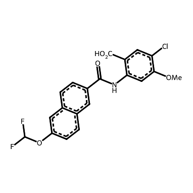 COc1cc(NC(=O)c2ccc3cc(OC(F)F)ccc3c2)c(C(=O)O)cc1Cl